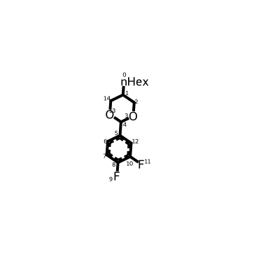 CCCCCCC1COC(c2ccc(F)c(F)c2)OC1